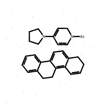 C1=Cc2c(ccc3c2CCc2ccccc2-3)CC1.CC(=O)N1C=CC(N2CCCC2)=CC1